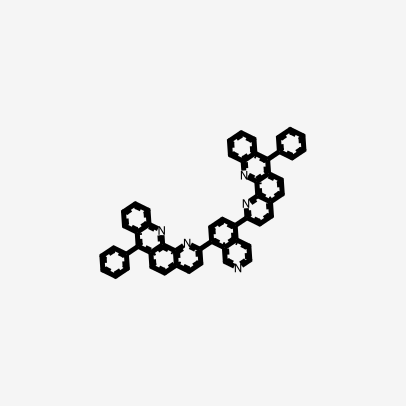 c1ccc(-c2c3ccccc3nc3c2ccc2ccc(-c4ccc(-c5ccc6ccc7c(-c8ccccc8)c8ccccc8nc7c6n5)c5cnccc45)nc23)cc1